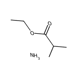 CCOC(=O)C(C)C.N